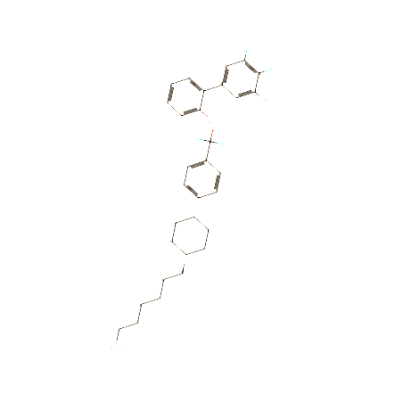 CCCCCCC[C@H]1CC[C@H](c2ccc(C(F)(F)Oc3ccccc3-c3cc(F)c(F)c(F)c3)cc2)CC1